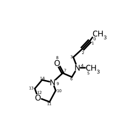 CC#CCN(C)CC(=O)N1CCOCC1